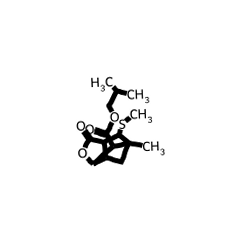 CSC1C2C(=O)OC3C2CC1(C)C3C(=O)OCC(C)C